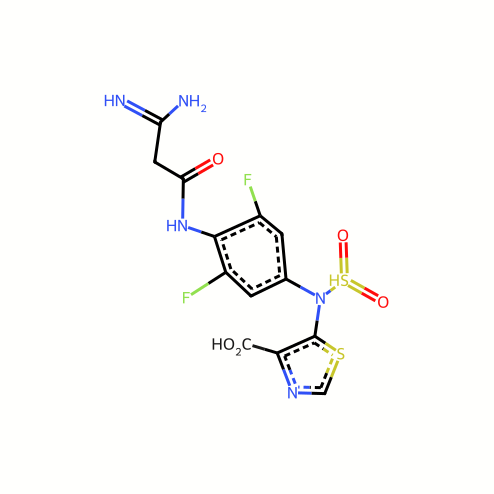 N=C(N)CC(=O)Nc1c(F)cc(N(c2scnc2C(=O)O)[SH](=O)=O)cc1F